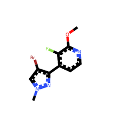 COc1nccc(-c2nn(C)cc2Br)c1F